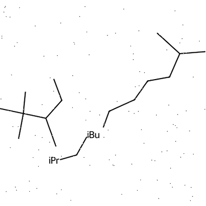 CCC(C)C(C)(C)C.CCC(C)CC(C)C.CCCCCC(C)C